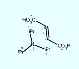 CC(C)N(C(C)C)C(C)C.O=C(O)/C=C/C(=O)O